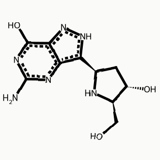 Nc1nc(O)c2n[nH]c([C@H]3C[C@H](O)[C@@H](CO)N3)c2n1